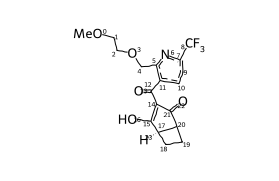 COCCOCc1nc(C(F)(F)F)ccc1C(=O)C1=C(O)[C@@H]2CCC2C1=O